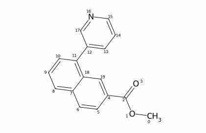 COC(=O)c1ccc2cccc(-c3cccnc3)c2c1